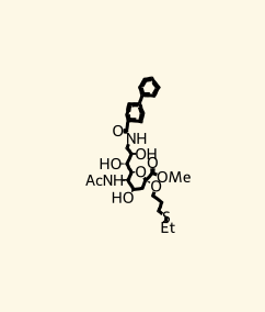 CCSCCCO[C@]1(C(=O)OC)C[C@H](O)[C@@H](NC(C)=O)[C@H]([C@H](O)[C@H](O)CNC(=O)c2ccc(-c3ccccc3)cc2)O1